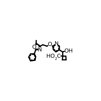 Cc1oc(-c2ccccc2)nc1CCOc1ccc(C(O)C2(C(=O)O)CCC2)cn1